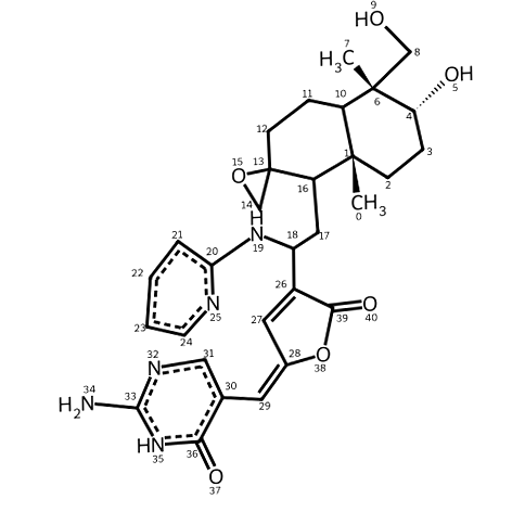 C[C@]12CC[C@@H](O)[C@@](C)(CO)C1CCC1(CO1)C2CC(Nc1ccccn1)C1=C/C(=C\c2cnc(N)[nH]c2=O)OC1=O